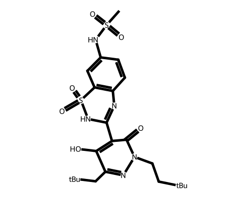 CC(C)(C)CCn1nc(CC(C)(C)C)c(O)c(C2=Nc3ccc(NS(C)(=O)=O)cc3S(=O)(=O)N2)c1=O